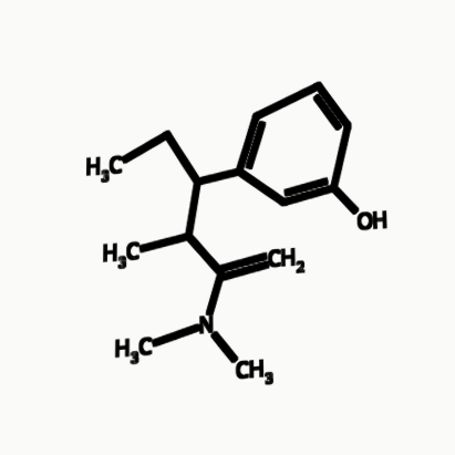 C=C(C(C)C(CC)c1cccc(O)c1)N(C)C